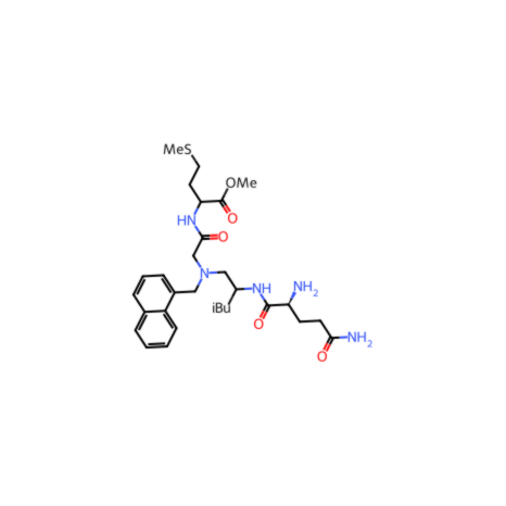 CCC(C)C(CN(CC(=O)NC(CCSC)C(=O)OC)Cc1cccc2ccccc12)NC(=O)[C@@H](N)CCC(N)=O